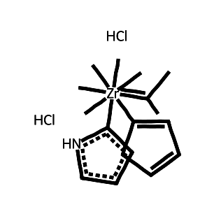 C[C](C)=[Zr]([CH3])([CH3])([CH3])([CH3])([CH3])([C]1=CC=CC1)[c]1ccc[nH]1.Cl.Cl